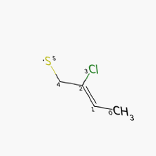 C/C=C(\Cl)C[S]